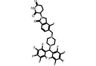 O=C1CCC(N2Cc3c(ccc(CN4CCN(C(c5c(F)c(F)c(F)c(F)c5F)c5c(F)c(F)c(F)c(F)c5F)CC4)c3F)C2=O)C(=O)N1